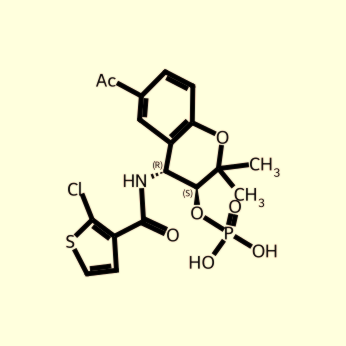 CC(=O)c1ccc2c(c1)[C@@H](NC(=O)c1ccsc1Cl)[C@H](OP(=O)(O)O)C(C)(C)O2